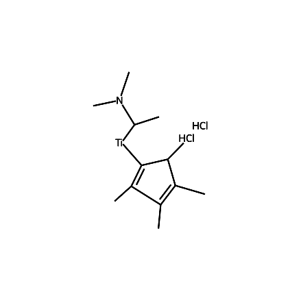 CC1=C(C)C(C)[C]([Ti][CH](C)N(C)C)=C1C.Cl.Cl